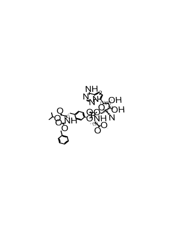 COC(=O)[C@H](C)NP(=O)(OC[C@@]1(C#N)O[C@@H](c2ccc3c(N)ncnn23)[C@H](O)[C@@H]1O)Oc1ccc(C[C@H](NC(=O)OCc2ccccc2)C(=O)OC(C)C)cc1